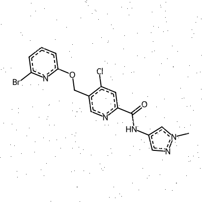 Cn1cc(NC(=O)c2cc(Cl)c(COc3cccc(Br)n3)cn2)cn1